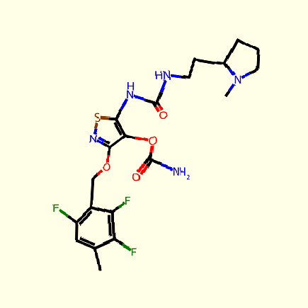 Cc1cc(F)c(COc2nsc(NC(=O)NCCC3CCCN3C)c2OC(N)=O)c(F)c1F